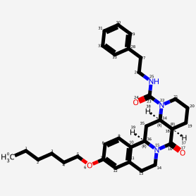 CCCCCCOc1ccc2c(c1)CCN1C(=O)[C@@H]3CCCN(C(=O)NCCc4ccccc4)[C@@H]3C[C@H]21